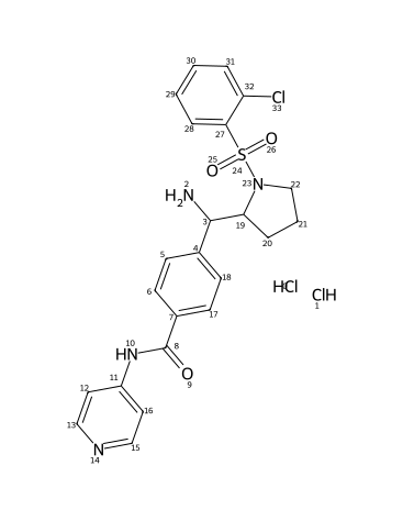 Cl.Cl.NC(c1ccc(C(=O)Nc2ccncc2)cc1)C1CCCN1S(=O)(=O)c1ccccc1Cl